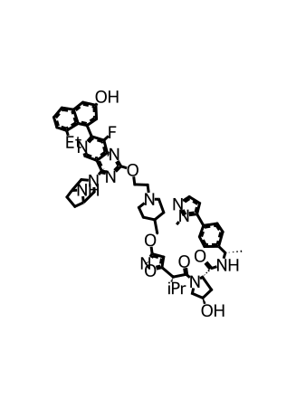 CCc1cccc2cc(O)cc(-c3ncc4c(N5CC6CCC(C5)N6)nc(OCCN5CCC(COc6cc([C@H](C(=O)N7C[C@H](O)C[C@H]7C(=O)N[C@@H](C)c7ccc(-c8ccnn8C)cc7)C(C)C)on6)CC5)nc4c3F)c12